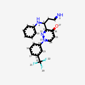 N=CCC(Nc1ccccc1)c1nn(-c2cccc(C(F)(F)F)c2)ccc1=O